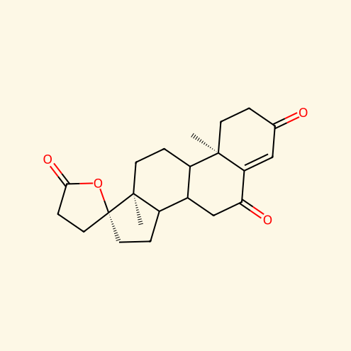 C[C@]12CCC(=O)C=C1C(=O)CC1C2CC[C@@]2(C)C1CC[C@@]21CCC(=O)O1